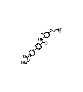 Cc1cc(OCCN(C)C)ccc1NC(=O)c1ccc(N2CCN(C(=O)OC(C)(C)C)CC2)cc1